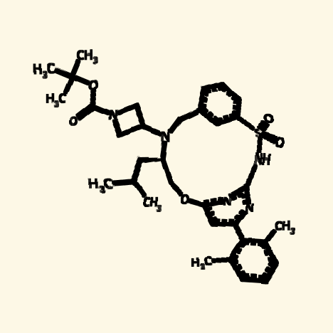 Cc1cccc(C)c1-c1cc2nc(n1)NS(=O)(=O)c1cccc(c1)CN(C1CN(C(=O)OC(C)(C)C)C1)[C@H](CC(C)C)CO2